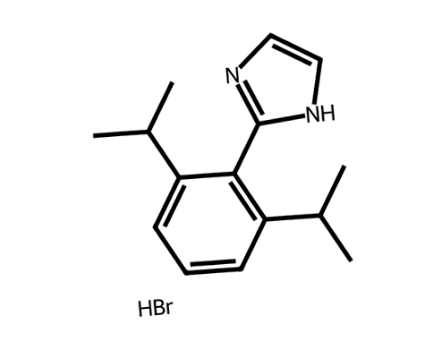 Br.CC(C)c1cccc(C(C)C)c1-c1ncc[nH]1